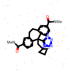 CNC(=O)c1ccc2c(c1)CCc1cc(C(=O)NC)ccc1C2(CC1(N)CCC1)c1nnn[nH]1